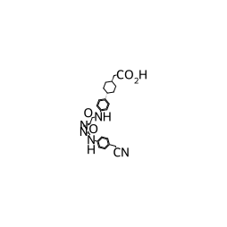 N#CCc1ccc(Nc2nnc(C(=O)Nc3ccc([C@H]4CC[C@H](CC(=O)O)CC4)cc3)o2)cc1